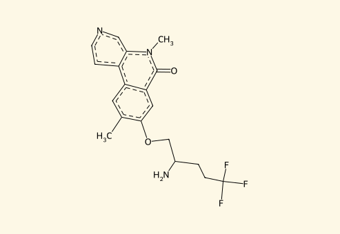 Cc1cc2c(cc1OCC(N)CCC(F)(F)F)c(=O)n(C)c1cnccc21